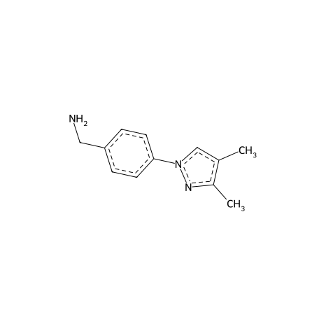 Cc1cn(-c2ccc(CN)cc2)nc1C